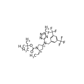 CC[C@@H]1C[C@H](N(Cc2cc(C(F)(F)F)cc(C(F)(F)F)c2)c2nnn(C)n2)CN1C(=O)OC(C)(C)C